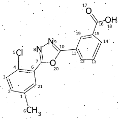 Cc1ccc(Cl)c(-c2nnc(-c3cccc(C(=O)O)c3)o2)c1